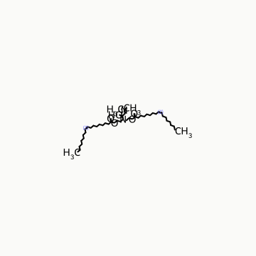 CCCCCCCC/C=C\CCCCCCCC(=O)OCCN(CCOC(=O)CCCCCCC/C=C\CCCCCCCC)C(O)CN(C)C